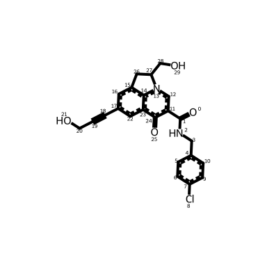 O=C(NCc1ccc(Cl)cc1)c1cn2c3c(cc(C#CCO)cc3c1=O)CC2CO